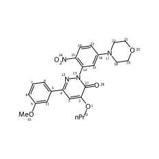 CCCOc1cc(-c2cccc(OC)c2)nn(-c2cc(N3CCOCC3)ccc2[N+](=O)[O-])c1=O